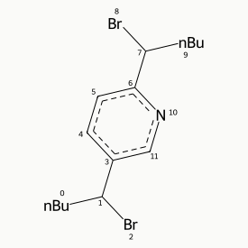 CCCCC(Br)c1ccc(C(Br)CCCC)nc1